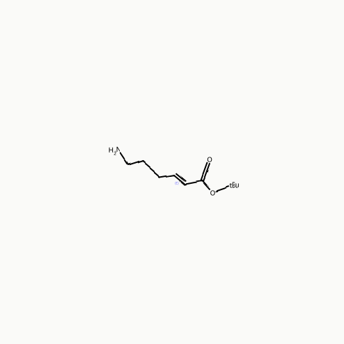 CC(C)(C)OC(=O)/C=C/CCCN